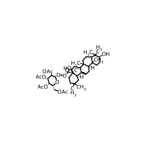 CC(=O)OC[C@H]1O[C@@H](OOC(=O)[C@]23CCC(C)(C)C[C@@H]2C2=CC[C@@H]4[C@@]5(C)CC[C@H](O)C(C)(C)C5CC[C@@]4(C)[C@]2(C)C[C@H]3O)[C@H](OC(C)=O)[C@@H](OC(C)=O)[C@H]1OC(C)=O